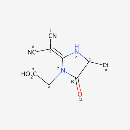 CCC1NC(=C(C#N)C#N)N(CC(=O)O)C1=O